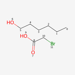 CCCCCCO.O=C(O)CBr